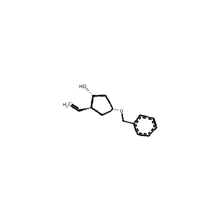 C=C[C@@H]1C[C@@H](OCc2ccccc2)C[C@H]1O